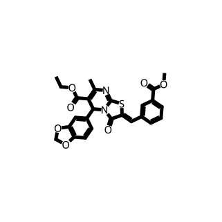 CCOC(=O)C1=C(C)N=c2sc(=Cc3cccc(C(=O)OC)c3)c(=O)n2C1c1ccc2c(c1)OCO2